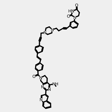 CNc1nc(-c2cnc3ccccc3c2)nc2c1CCN(C(=O)c1ccc(/C=C/c3ccc(C#CCN4CCN(CCC#Cc5cccc(N6CCC(=O)NC6=O)c5)CC4)cc3)cc1)C2